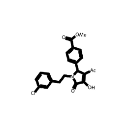 COC(=O)c1ccc(C2C(C(C)=O)=C(O)C(=O)N2CCc2cccc(Cl)c2)cc1